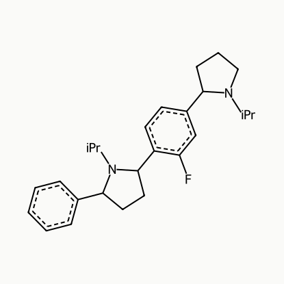 CC(C)N1CCCC1c1ccc(C2CCC(c3ccccc3)N2C(C)C)c(F)c1